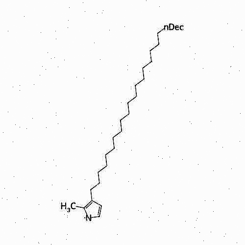 CCCCCCCCCCCCCCCCCCCCCCCCCCCCCC1=C(C)[N]C=C1